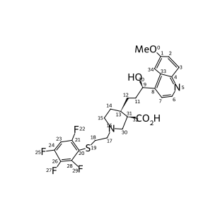 COc1ccc2nccc([C@H](O)CC[C@@H]3CCN(CCSc4c(F)cc(F)c(F)c4F)C[C@@H]3C(=O)O)c2c1